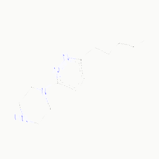 CCCCCc1ccc(N2CCNCC2)nn1